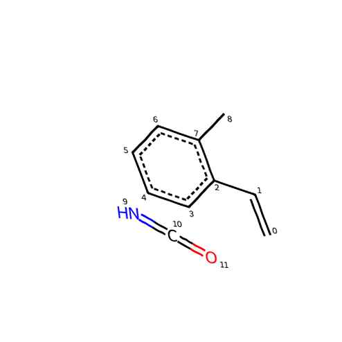 C=Cc1ccccc1C.N=C=O